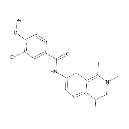 CC1=C2CC(NC(=O)c3ccc(OC(C)C)c(Cl)c3)=CC=C2C(C)CN1C